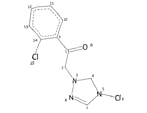 O=C(CN1CN(Cl)C=N1)c1ccccc1Cl